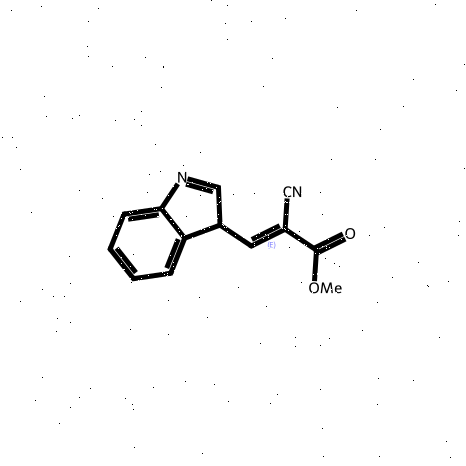 COC(=O)/C(C#N)=C/C1C=Nc2ccccc21